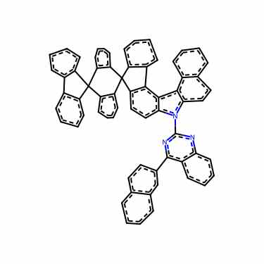 c1ccc2c(c1)-c1ccccc1C21c2ccccc2C2(c3ccccc3-c3c2ccc2c3c3c4ccccc4ccc3n2-c2nc(-c3ccc4ccccc4c3)c3ccccc3n2)c2ccccc21